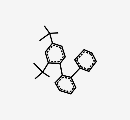 CC(C)(C)c1ccc(-c2[c]cccc2-c2ccccc2)c(C(C)(C)C)c1